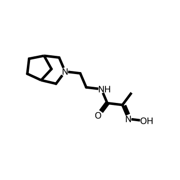 C/C(=N\O)C(=O)NCCN1CC2CCC(C2)C1